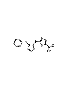 O=[N+]([O-])c1cnc(Sc2nccn2Cc2ccccc2)s1